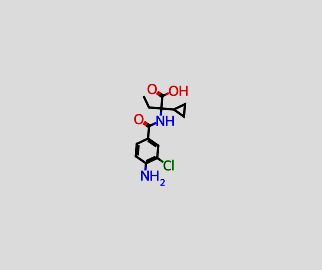 CCC(NC(=O)c1ccc(N)c(Cl)c1)(C(=O)O)C1CC1